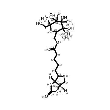 CC1(CO)O[C@](C)(COC(=O)CCCCC2SC[C@@H]3NC(=O)N[C@H]23)C(C)(O)C(C)(O)C1(C)O